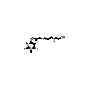 Cn1c(=O)c2nc(CNCCCNCCO)nnc2n(C)c1=O